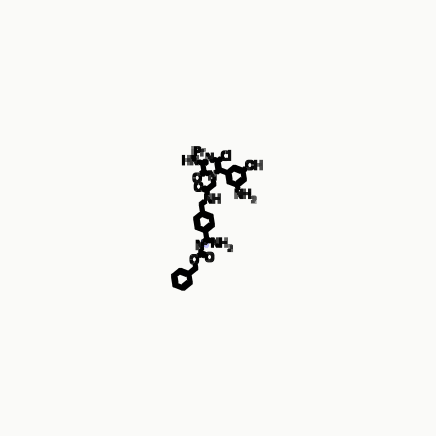 CC(C)Nc1nc(Cl)c(-c2cc(N)cc(O)c2)n(CC(=O)NCc2ccc(/C(N)=N/C(=O)OCc3ccccc3)cc2)c1=O